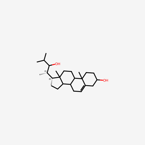 CC(C)C(O)[C@@H](C)[C@H]1CCC2C3CC=C4CC(O)CCC4(C)C3CCC21C